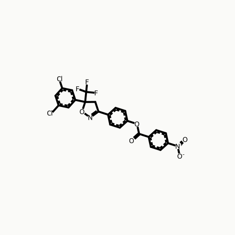 O=C(Oc1ccc(C2=NOC(c3cc(Cl)cc(Cl)c3)(C(F)(F)F)C2)cc1)c1ccc([N+](=O)[O-])cc1